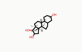 C[C@]12CC[C@H]3[C@@H](CCC4C[C@H](O)CC[C@@]43C)[C@@H]1CC(O)[C@H]2O